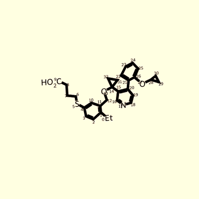 CCc1ccc(SCCCC(=O)O)cc1COC1(c2cnccc2-c2ccccc2OC2CC2)CC1